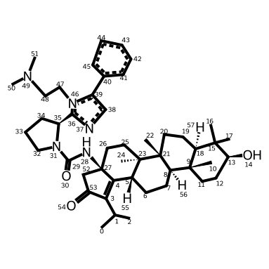 CC(C)C1=C2[C@H]3CC[C@@H]4[C@@]5(C)CC[C@H](O)C(C)(C)[C@@H]5CC[C@@]4(C)[C@]3(C)CC[C@@]2(NC(=O)N2CCC[C@H]2c2ncc(-c3ccccc3)n2CCN(C)C)CC1=O